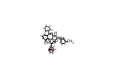 Cc1cccc(NC(=O)NC2N=C(C3CCCCC3)c3cccc(C)c3N(CC(=O)N3CC4CCC(CC4)C3)C2=O)c1